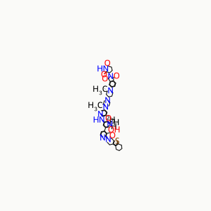 [2H]C([2H])([2H])n1cc(-c2ccnc(N3CCc4c(sc5c4CCCC5)C3=O)c2CO)cc(Nc2ccc(N3CCN([C@H]4CCN(c5ccc6c(c5)C(=O)N(C5CCC(=O)NC5=O)C6=O)[C@@H](C)C4)C[C@@H]3C)cn2)c1=O